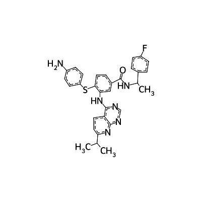 CC(C)c1ccc2c(Nc3cc(C(=O)NC(C)c4ccc(F)cc4)ccc3Sc3ccc(N)cc3)ncnc2n1